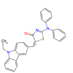 CCn1c2ccccc2c2cc(/C=C3/SC(N(c4ccccc4)c4ccccc4)=NC3=O)ccc21